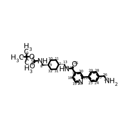 CC(C)(C)OC(=O)NC[C@H]1CC[C@H](CNC(=O)c2ccnc(-c3ccc(CN)cc3)c2)CC1